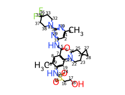 Cc1cc(NC(=O)c2cc(C)c(NS(=O)(=O)CCO)cc2N2CCC3(CC2)CC3)nc(N2CCC(F)(F)CC2)n1